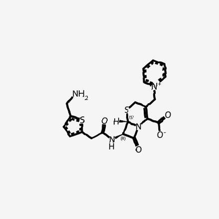 NCc1ccc(CC(=O)N[C@@H]2C(=O)N3C(C(=O)[O-])=C(C[n+]4ccccc4)CS[C@@H]23)s1